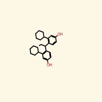 CCC(c1ccc(O)cc1C1CCCCC1)c1ccc(O)cc1C1CCCCC1